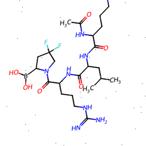 CC(=O)NC(CCCN)C(=O)NC(CC(C)C)C(=O)NC(CCCNC(=N)N)C(=O)N1CC(F)(F)CC1B(O)O